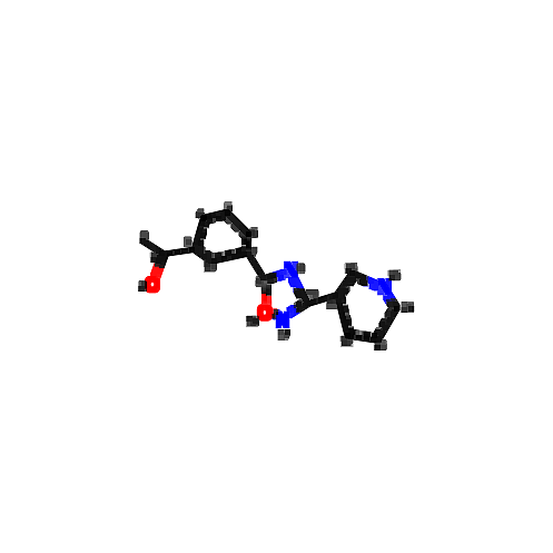 CC(=O)c1cccc(-c2nc(-c3cccnc3)no2)c1